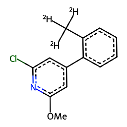 [2H]C([2H])([2H])c1ccccc1-c1cc(Cl)nc(OC)c1